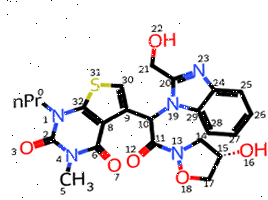 CCCn1c(=O)n(C)c(=O)c2c(C(C(=O)N3C[C@H](O)CO3)n3c(CO)nc4ccccc43)csc21